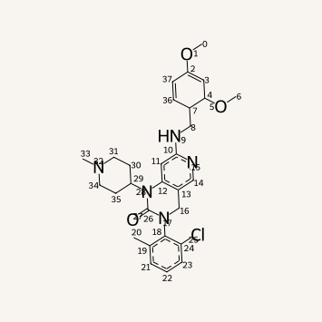 COC1=CC(OC)C(CNc2cc3c(cn2)CN(c2c(C)cccc2Cl)C(=O)N3C2CCN(C)CC2)C=C1